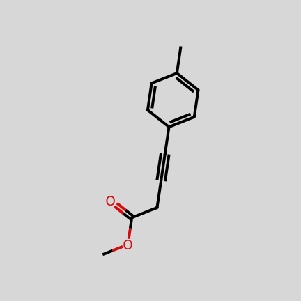 COC(=O)CC#Cc1ccc(C)cc1